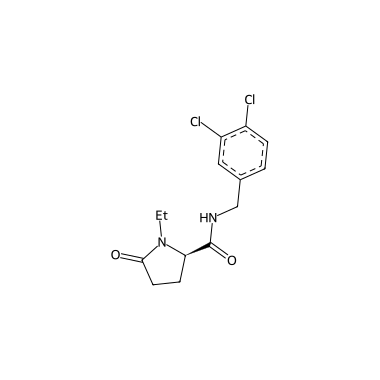 CCN1C(=O)CC[C@@H]1C(=O)NCc1ccc(Cl)c(Cl)c1